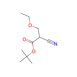 CCOCC(C#N)C(=O)OC(C)(C)C